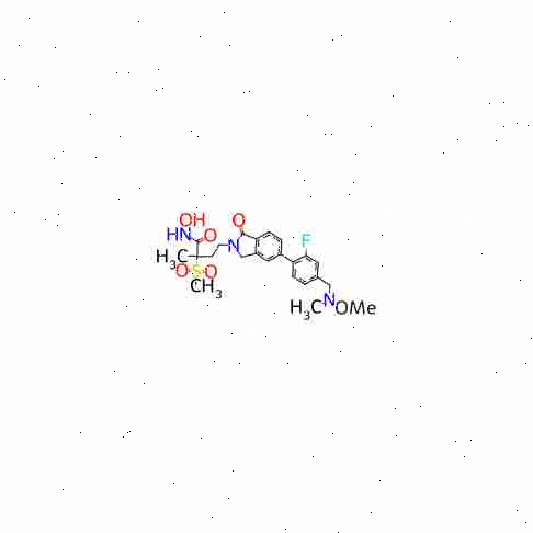 CON(C)Cc1ccc(-c2ccc3c(c2)CN(CCC(C)(C(=O)NO)S(C)(=O)=O)C3=O)c(F)c1